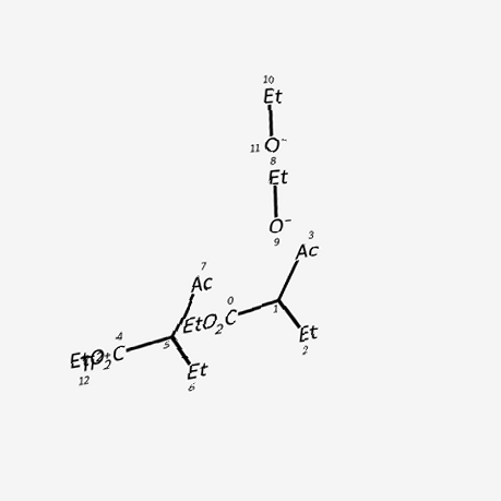 CCOC(=O)C(CC)C(C)=O.CCOC(=O)C(CC)C(C)=O.CC[O-].CC[O-].[Ti+2]